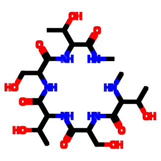 CNC(=O)C(NC(=O)C(CO)NC(=O)C(NC(=O)C(CO)NC(=O)C(NC)C(C)O)C(C)O)C(C)O